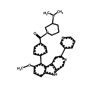 COc1ccc2[nH]c3cnc(-c4cccnc4)cc3c2c1-c1ccc(C(=O)N2CCCC(N(C)C)C2)cc1